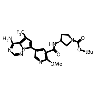 COc1ncc(-c2cc(C(F)(F)F)c3c(N)ncnn23)cc1C(=O)N[C@H]1CCN(C(=O)OC(C)(C)C)C1